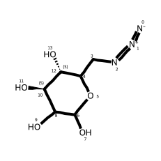 [N-]=[N+]=NCC1OC(O)C(O)[C@@H](O)[C@@H]1O